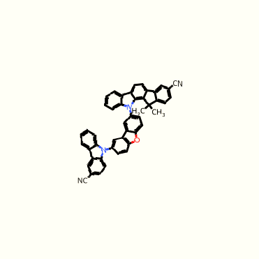 CC1(C)c2ccc(C#N)cc2-c2ccc3c4ccccc4n(-c4ccc5oc6ccc(-n7c8ccccc8c8cc(C#N)ccc87)cc6c5c4)c3c21